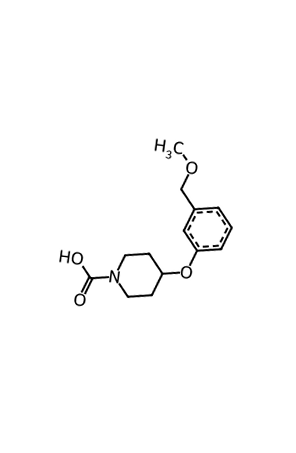 COCc1cccc(OC2CCN(C(=O)O)CC2)c1